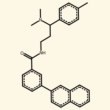 Cc1ccc(C(CCNC(=O)c2cccc(-c3ccc4ccccc4c3)c2)N(C)C)cc1